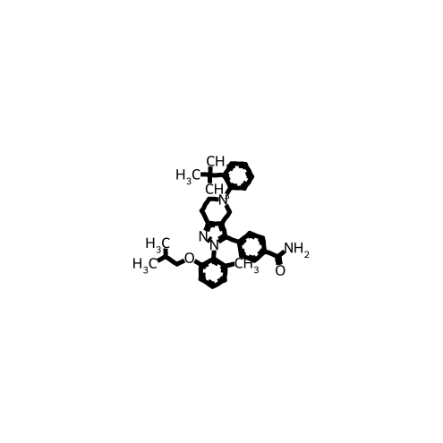 Cc1cccc(OCC(C)C)c1-n1nc2c(c1-c1ccc(C(N)=O)cc1)CN(c1ccccc1C(C)(C)C)CC2